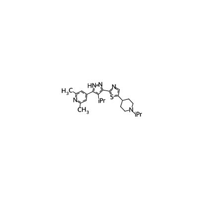 Cc1cc(-c2[nH]nc(-c3ncc(C4CCN(C(C)C)CC4)s3)c2C(C)C)cc(C)n1